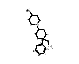 CC(C)(C)C1CCN(C2CCC(CN)(c3ccccc3)CC2)CC1